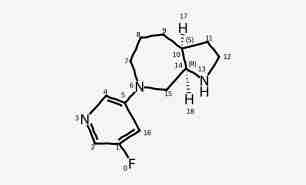 Fc1cncc(N2CCC[C@H]3CCN[C@H]3C2)c1